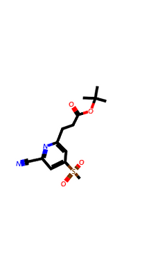 CC(C)(C)OC(=O)CCc1cc(S(C)(=O)=O)cc(C#N)n1